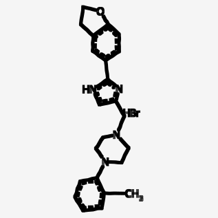 Br.Cc1ccccc1N1CCN(Cc2c[nH]c(-c3ccc4c(c3)CCO4)n2)CC1